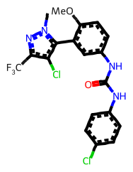 COc1ccc(NC(=O)Nc2ccc(Cl)cc2)cc1-c1c(Cl)c(C(F)(F)F)nn1C